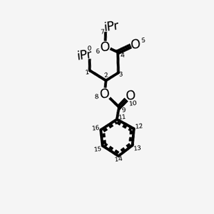 CC(C)CC(CC(=O)OC(C)C)OC(=O)c1ccccc1